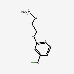 CCOC(=O)CCCCc1cccc(CCl)c1